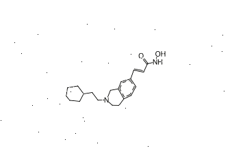 O=C(C=Cc1ccc2c(c1)CN(CCC1CCCCC1)CC2)NO